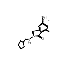 Bc1cc(C)c2c(c1)CN(NCC1CCCC1)C2=O